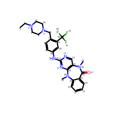 CCN1CCN(Cc2ccc(Nc3ncc4c(n3)N(C)c3ccccc3C(=O)N4C)cc2C(F)(F)F)CC1